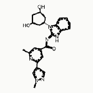 Cc1cc(C(=O)/N=c2\[nH]c3ccccc3n2[C@H]2C[C@H](O)C[C@H](O)C2)cc(-c2cnn(C)c2)n1